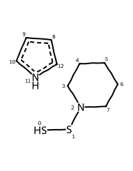 SSN1CCCCC1.c1cc[nH]c1